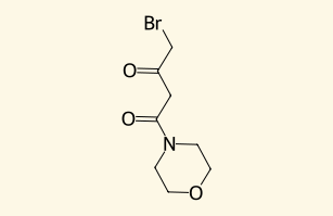 O=C(CBr)CC(=O)N1CCOCC1